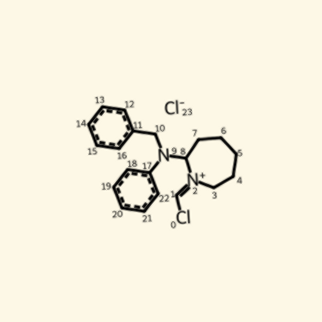 Cl/C=[N+]1\CCCCCC1N(Cc1ccccc1)c1ccccc1.[Cl-]